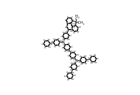 CC1(C)c2cccc3cc(-c4ccc(N(c5ccc(-c6ccccc6)cc5)c5ccc(-c6ccc(N(c7ccc(-c8ccccc8)cc7)c7ccc(-c8ccccc8)cc7)cc6)cc5)cc4)c4cccc1c4c23